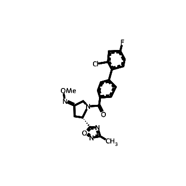 CO/N=C1/C[C@@H](c2nc(C)no2)N(C(=O)c2ccc(-c3ccc(F)cc3Cl)cc2)C1